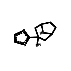 OC1(c2nccs2)CC2CCC(C1)N2